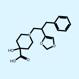 O=C(O)C1(O)CCN(CC(Cc2ccccc2)C2=COCO2)CC1